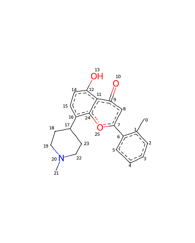 Cc1ccccc1-c1cc(=O)c2c(O)ccc(C3CCN(C)CC3)c2o1